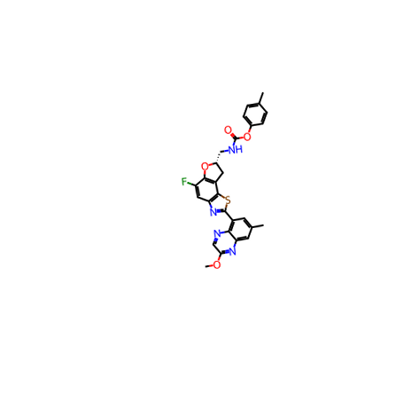 COc1cnc2c(-c3nc4cc(F)c5c(c4s3)C[C@@H](CNC(=O)Oc3ccc(C)cc3)O5)cc(C)cc2n1